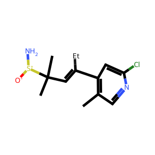 CCC(=CC(C)(C)[S+](N)[O-])c1cc(Cl)ncc1C